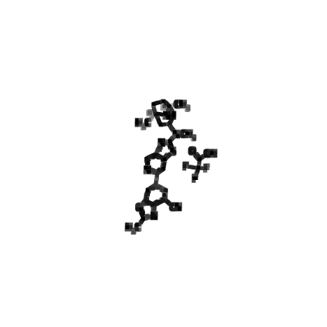 Cc1nc2c(C#N)cc(-c3cc4sc(N(C)C5C[C@]6(C)CC[C@](C)(C5)N6)nc4cn3)cc2o1.O=C(O)C(F)(F)F